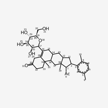 CC(=O)C1C(c2cc(C)ccc2C)CC2CC3CC(C4O[C@H](CO)[C@@H](O)[C@H](O)[C@@H]4O)=C4CC(=O)CCC4(C)C3CC21C